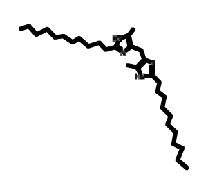 CCCCCCCCCCCc1nc(Cc2nc(CCCCCCCCCCC)[nH]c2C)c(C)[nH]1